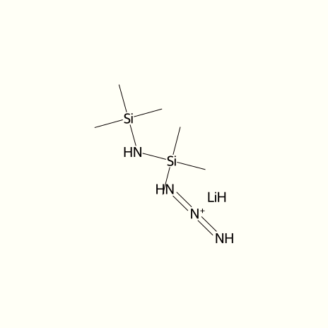 C[Si](C)(C)N[Si](C)(C)C.N=[N+]=N.[LiH]